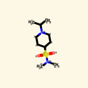 CC(C)N1CCC(S(=O)(=O)N(C)C)CC1